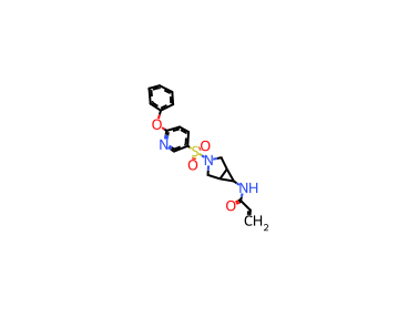 C=CC(=O)NC1C2CN(S(=O)(=O)c3ccc(Oc4ccccc4)nc3)CC21